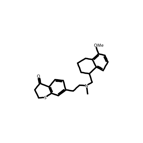 COc1cccc2c1CCCC2CN(C)CCc1ccc2c(c1)SCCC2=O